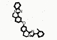 Cc1ccccc1-c1cn2c(n1)-c1cc(Oc3ccc4c(c3)-c3nc5ccccc5n3CC4)ccc1CC2